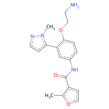 Cc1occc1C(=O)Nc1ccc(OCCN)c(-c2ccnn2C)c1